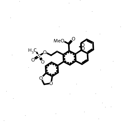 COC(=O)c1c(CCOS(C)(=O)=O)c(-c2ccc3c(c2)OCO3)cc2c1C13OCOC1C=CC=C3C=C2